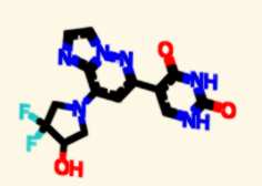 O=c1[nH]cc(-c2cc(N3CC(O)C(F)(F)C3)c3nccn3n2)c(=O)[nH]1